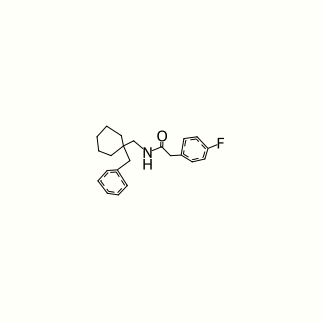 O=C(Cc1ccc(F)cc1)NCC1(Cc2ccccc2)CCCCC1